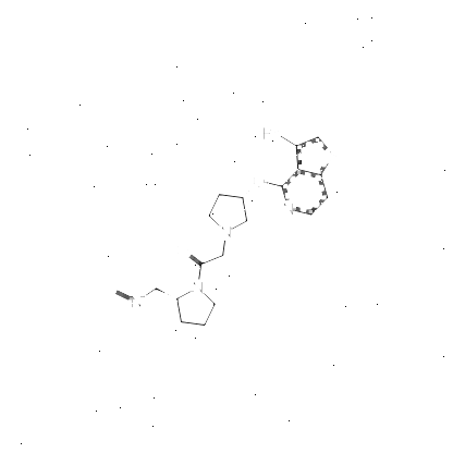 C=NC[C@@H]1CCCN1C(=O)CN1CC[C@H](Oc2nccc3scc(Br)c23)C1